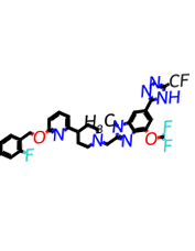 Cn1c(CN2CCC(c3cccc(OCc4ccc(Cl)cc4F)n3)CC2)nc2c(OC(F)F)cc(-c3nnc(C(F)(F)F)[nH]3)cc21